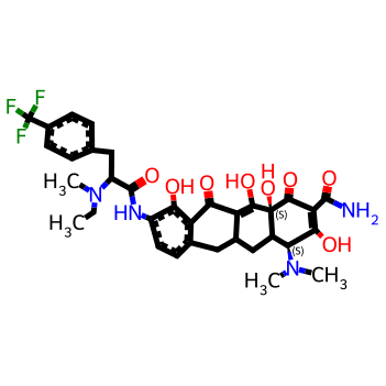 CCN(C)C(Cc1ccc(C(F)(F)F)cc1)C(=O)Nc1ccc2c(c1O)C(=O)C1=C(O)[C@]3(O)C(=O)C(C(N)=O)=C(O)[C@@H](N(C)C)C3CC1C2